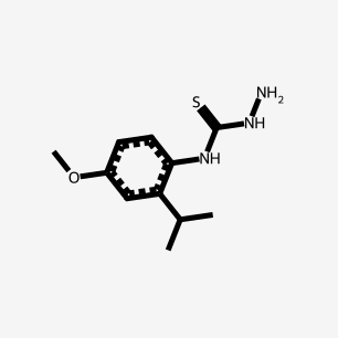 COc1ccc(NC(=S)NN)c(C(C)C)c1